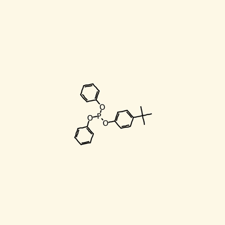 CC(C)(C)c1ccc(OP(Oc2ccccc2)Oc2ccccc2)cc1